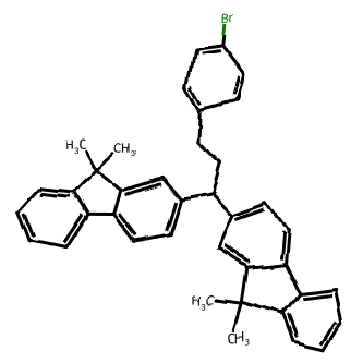 CC1(C)c2ccccc2-c2ccc(C(CCc3ccc(Br)cc3)c3ccc4c(c3)C(C)(C)c3ccccc3-4)cc21